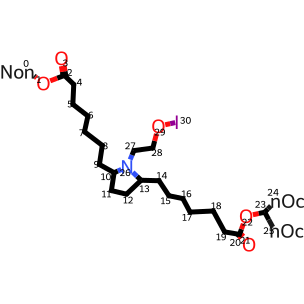 CCCCCCCCCOC(=O)CCCCCCC1CCC(CCCCCCC(=O)OC(CCCCCCCC)CCCCCCCC)N1CCOI